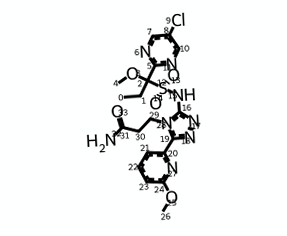 CCC(OC)(c1ncc(Cl)cn1)S(=O)(=O)Nc1nnc(-c2cccc(OC)n2)n1CCC(N)=O